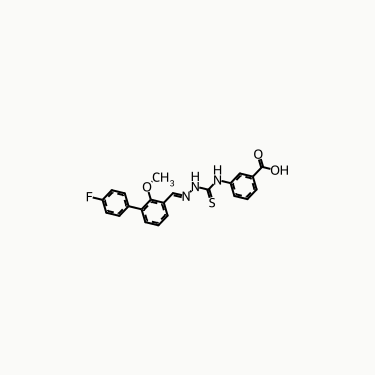 COc1c(C=NNC(=S)Nc2cccc(C(=O)O)c2)cccc1-c1ccc(F)cc1